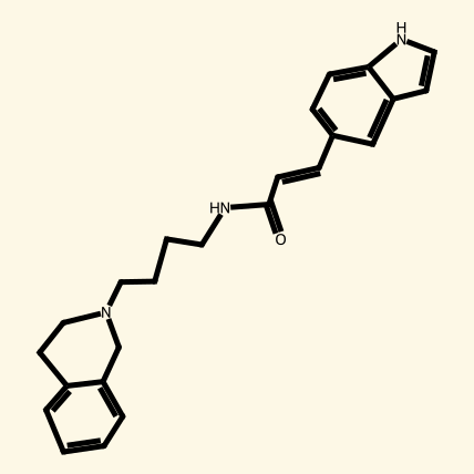 O=C(C=Cc1ccc2[nH]ccc2c1)NCCCCN1CCc2ccccc2C1